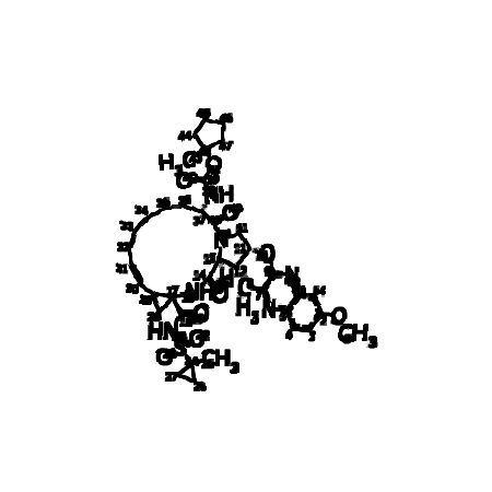 COc1ccc2nc(C)c(O[C@@H]3C[C@H]4C(=O)N[C@]5(C(=O)NS(=O)(=O)C6(C)CC6)CC5/C=C\CCCCC[C@H](NC(=O)OC5(C)CCCC5)C(=O)N4C3)nc2c1